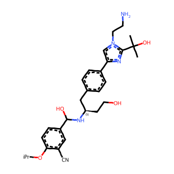 CC(C)Oc1ccc(C(O)N[C@H](CCO)Cc2ccc(-c3cn(CCN)c(C(C)(C)O)n3)cc2)cc1C#N